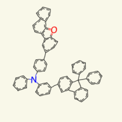 c1ccc(N(c2ccc(-c3ccc4oc5c6ccccc6ccc5c4c3)cc2)c2cccc(-c3ccc4c(c3)-c3ccccc3C4(c3ccccc3)c3ccccc3)c2)cc1